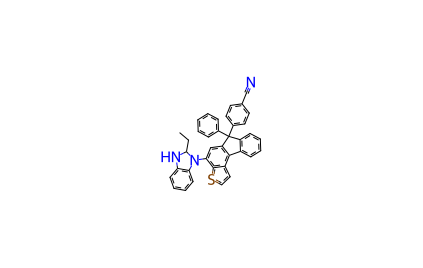 CCC1Nc2ccccc2N1c1cc2c(c3ccsc13)-c1ccccc1C2(c1ccccc1)c1ccc(C#N)cc1